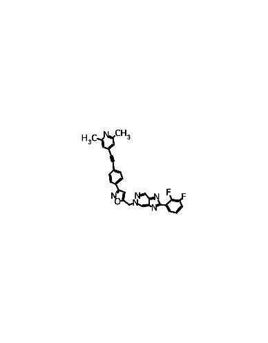 Cc1cc(C#Cc2ccc(-c3cc(Cn4cc5nc(-c6cccc(F)c6F)nc-5cn4)on3)cc2)cc(C)n1